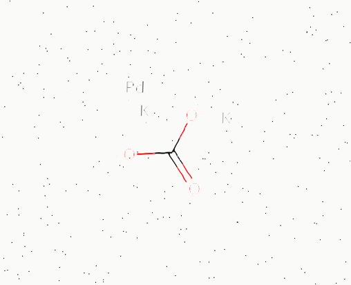 O=C([O-])[O-].[K+].[K+].[Pd]